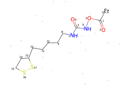 CCC(=O)ONC(=O)NCCCCCC1CCSS1